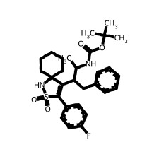 CC(NC(=O)OC(C)(C)C)C(Cc1ccccc1)C1=C(c2ccc(F)cc2)S(=O)(=O)NC12CCCCC2